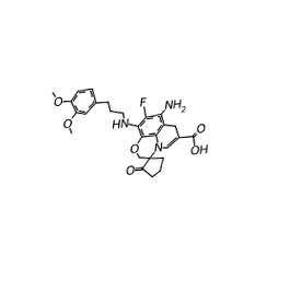 COc1ccc(CCCNc2c(F)c(N)c3c4c2OCC2(CCCC2=O)N4C=C(C(=O)O)C3)cc1OC